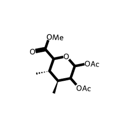 COC(=O)C1OC(OC(C)=O)C(OC(C)=O)[C@@H](C)[C@@H]1C